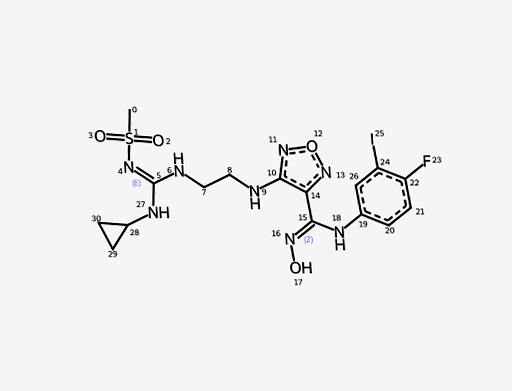 CS(=O)(=O)/N=C(\NCCNc1nonc1/C(=N/O)Nc1ccc(F)c(I)c1)NC1CC1